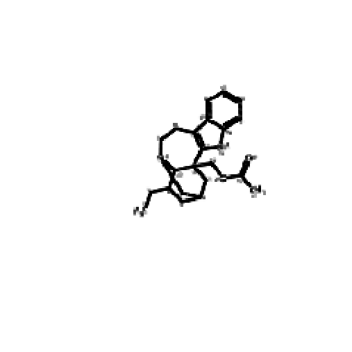 CCC1CC2CN3CCc4c([nH]c5ccccc45)C(COC(C)=O)(C2)C13